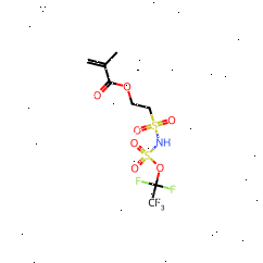 C=C(C)C(=O)OCCS(=O)(=O)NS(=O)(=O)OC(F)(F)C(F)(F)F